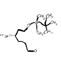 C[C@@H](CCC=O)CCO[Si](C)(C)C(C)(C)C